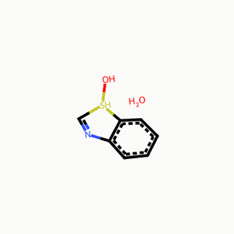 O.O[SH]1C=Nc2ccccc21